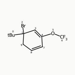 CC(C)(C)C1(Br)C=C(OC(F)(F)F)C=CC1